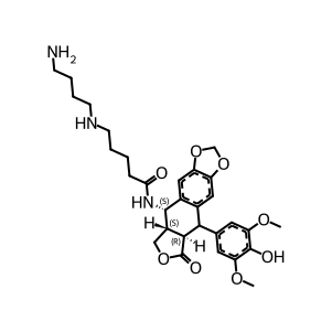 COc1cc(C2c3cc4c(cc3[C@@H](NC(=O)CCCCNCCCCN)[C@H]3COC(=O)[C@H]23)OCO4)cc(OC)c1O